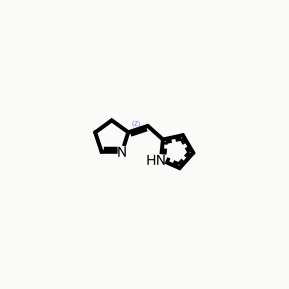 C1=N/C(=C\c2ccc[nH]2)CC1